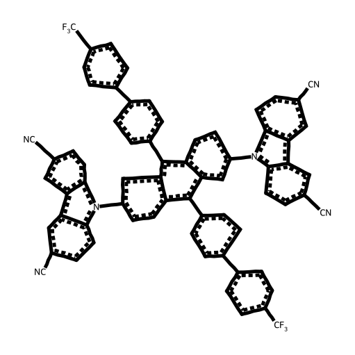 N#Cc1ccc2c(c1)c1cc(C#N)ccc1n2-c1ccc2c(-c3ccc(-c4ccc(C(F)(F)F)cc4)cc3)c3cc(-n4c5ccc(C#N)cc5c5cc(C#N)ccc54)ccc3c(-c3ccc(-c4ccc(C(F)(F)F)cc4)cc3)c2c1